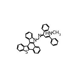 CN/C(=C\C(=N/Cn1c2ccccc2c2c3c4ccccc4sc3c3ccccc3c21)c1ccccc1)c1ccccc1